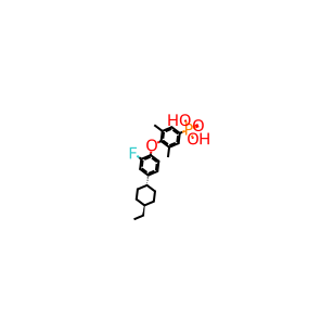 CC[C@H]1CC[C@H](c2ccc(Oc3c(C)cc(P(=O)(O)O)cc3C)c(F)c2)CC1